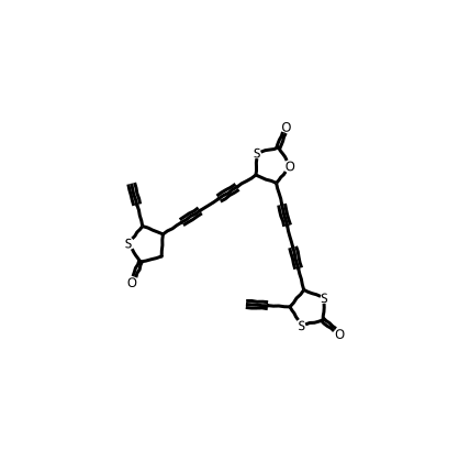 C#CC1SC(=O)CC1C#CC#CC1SC(=O)OC1C#CC#CC1SC(=O)SC1C#C